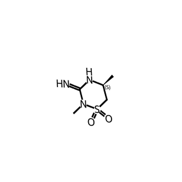 C[C@H]1CS(=O)(=O)N(C)C(=N)N1